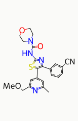 COCc1cc(-c2sc(NC(=O)N3CCOCC3)nc2-c2cccc(C#N)c2)cc(C)n1